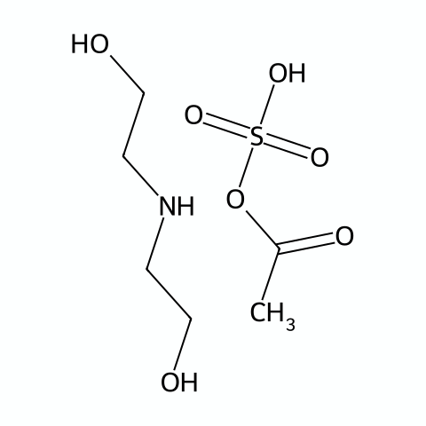 CC(=O)OS(=O)(=O)O.OCCNCCO